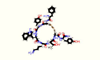 C[C@@H](O)[C@@H]1NC(=O)[C@H](CCCCN)NC(=O)[C@@H](Cc2c[nH]c3ccccc23)NC(=O)[C@H](Cc2ccc(O)cc2)NC(=O)[C@H](NC(=O)[C@@H](N)Cc2ccccc2)CSSC[C@@H](C(=O)N[C@H](Cc2ccc(O)cc2)C(N)=O)NC1=O